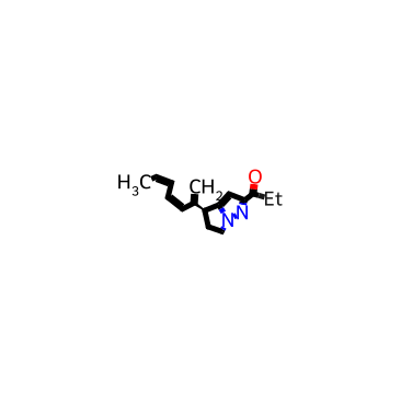 C=C(/C=C\C=C/C)[C@@H]1CCn2nc(C(=O)CC)cc21